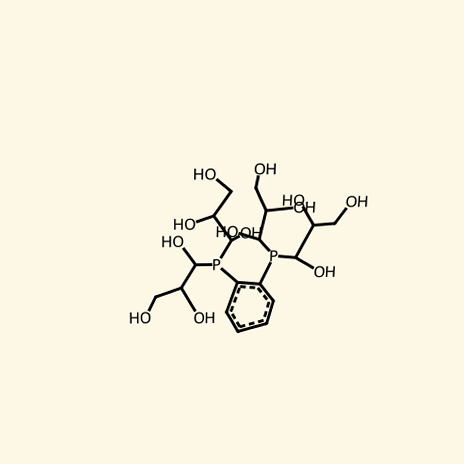 OCC(O)C(O)P(c1ccccc1P(C(O)C(O)CO)C(O)C(O)CO)C(O)C(O)CO